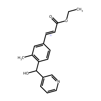 CCOC(=O)/C=C/c1ccc(C(O)c2cccnc2)c(C)c1